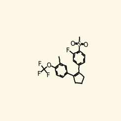 Cc1cc(C2=C(c3ccc(S(C)(=O)=O)c(F)c3)CCC2)ccc1OC(F)(F)F